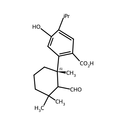 CC(C)c1cc(C(=O)O)c([C@@]2(C)CCCC(C)(C)C2C=O)cc1O